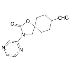 O=CC1CCC2(CC1)CN(c1cnccn1)C(=O)O2